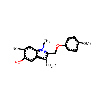 CCOC(=O)c1c(COc2ccc(OC)cc2)n(C)c2cc(C#N)c(O)cc12